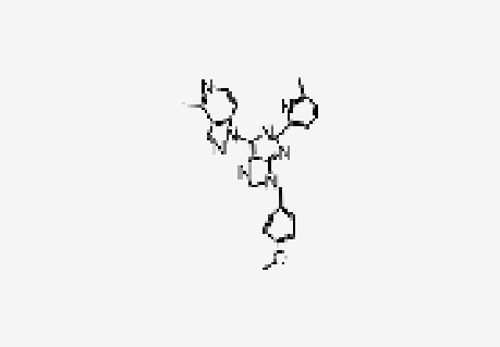 COc1ccc(Cn2cnc3c(-n4ncc5c(C)nccc54)nc(-c4cccc(C)n4)nc32)cc1